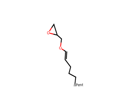 CCCCCCCCC=COCC1CO1